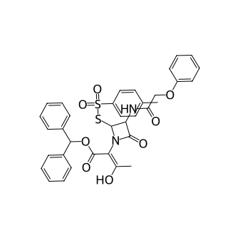 CC(O)=C(C(=O)OC(c1ccccc1)c1ccccc1)N1C(=O)C(NC(=O)COc2ccccc2)C1SS(=O)(=O)c1ccc(C)cc1